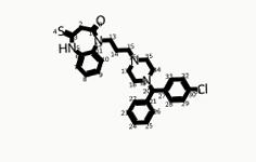 O=C1CC(=S)Nc2ccccc2N1CCCN1CCN(C(c2ccccc2)c2ccc(Cl)cc2)CC1